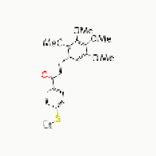 CCSc1ccc(C(=O)C=Cc2cc(OC)c(OC)c(OC)c2OC)cc1